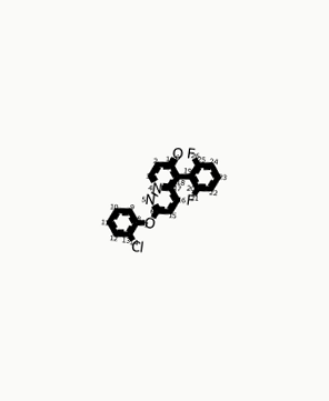 O=c1ccn2nc(Oc3ccccc3Cl)ccc2c1-c1c(F)cccc1F